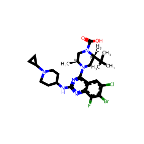 C[C@H]1CN(C(=O)O)[C@](C)(C(C)(C)C)CN1c1nc(NC2CCN(C3CC3)CC2)nc2c(F)c(Br)c(Cl)cc12